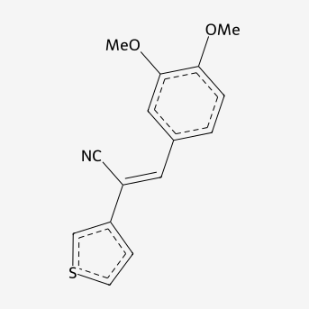 COc1ccc(/C=C(\C#N)c2ccsc2)cc1OC